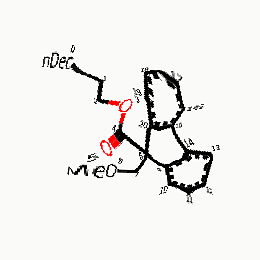 CCCCCCCCCCCCOC(=O)C1(COC)c2ccccc2-c2ccccc21